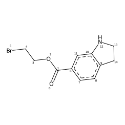 O=C(OCCBr)c1ccc2c(c1)NCC2